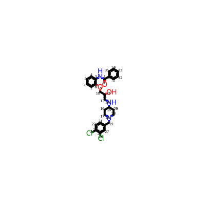 O=C(Nc1ccccc1OCC(O)CNC1CCN(Cc2ccc(Cl)c(Cl)c2)CC1)c1ccccc1